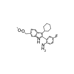 COOCc1ccc2c(C3CCCCC3)c(-c3cc(F)ccc3N)[nH]c2c1